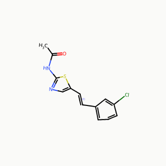 CC(=O)Nc1ncc(/C=C/c2cccc(Cl)c2)s1